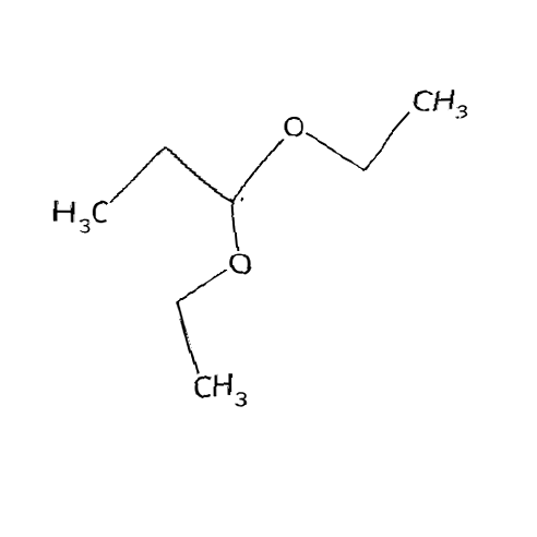 CCO[C](CC)OCC